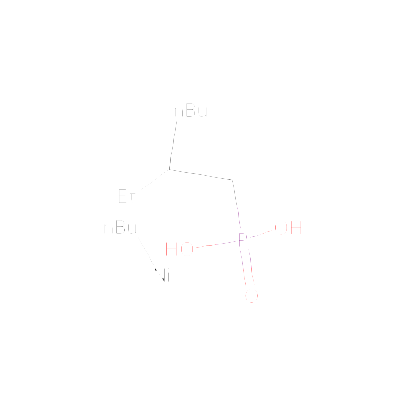 CCCCC(CC)CP(=O)(O)O.CCC[CH2][Ni]